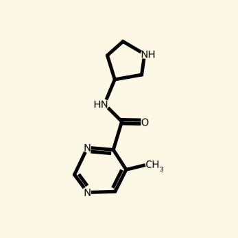 Cc1cncnc1C(=O)NC1CCNC1